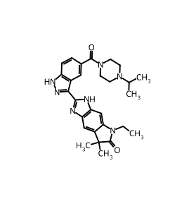 CCN1C(=O)C(C)(C)c2cc3nc(-c4n[nH]c5ccc(C(=O)N6CCN(C(C)C)CC6)cc45)[nH]c3cc21